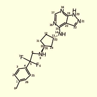 Cc1ccc(C(F)(F)CN[C@H]2CC[C@H](Nc3ncnc4[nH]ncc34)C2)cc1